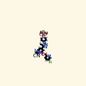 Cc1c(-c2cc(OCc3ccc(F)cn3)n3c(C#N)cnc3c2)nnn1C1CCN(C(=O)OC(C)(C)C)CC1